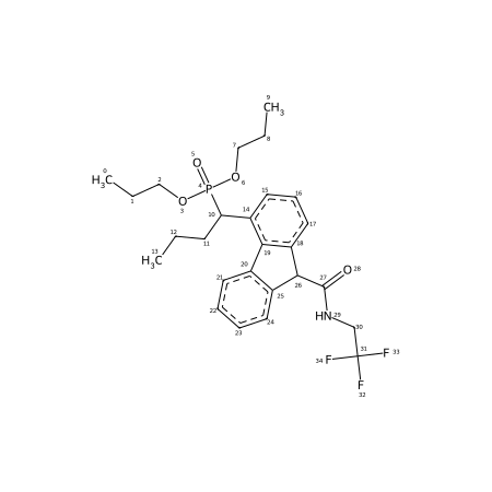 CCCOP(=O)(OCCC)C(CCC)c1cccc2c1-c1ccccc1C2C(=O)NCC(F)(F)F